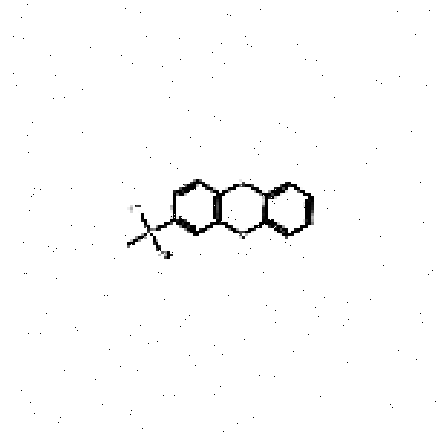 C[Si](O)(O)c1ccc2c(c1)Sc1ccccc1S2